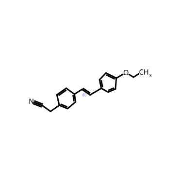 CCOc1ccc(/C=C/c2ccc(CC#N)cc2)cc1